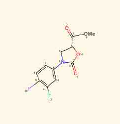 COC(=O)[C@H]1CN(c2ccc(I)c(F)c2)C(=O)O1